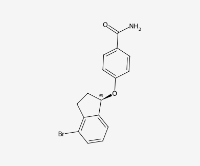 NC(=O)c1ccc(O[C@@H]2CCc3c(Br)cccc32)cc1